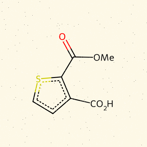 COC(=O)c1sccc1C(=O)O